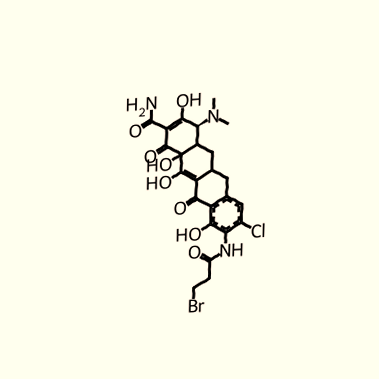 CN(C)[C@@H]1C(O)=C(C(N)=O)C(=O)C2(O)C(O)=C3C(=O)c4c(cc(Cl)c(NC(=O)CCBr)c4O)CC3CC12